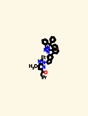 CCc1nc2c(C)cc(C(=O)CC(C)C)nc2n1[C@H]1CCc2cc(-c3ccccc3-c3nnnn3C(c3ccccc3)(c3ccccc3)c3ccccc3)ccc21